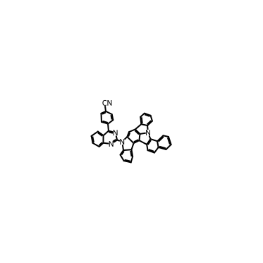 N#Cc1ccc(-c2nc(-n3c4ccccc4c4c5c6ccc7ccccc7c6n6c7ccccc7c(cc43)c56)nc3ccccc23)cc1